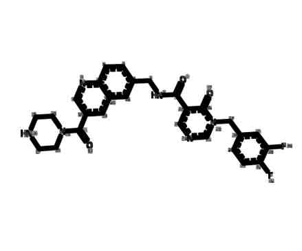 O=C(NCc1ccc2ncc(C(=O)N3CCNCC3)cc2c1)c1cncn(Cc2ccc(F)c(F)c2)c1=O